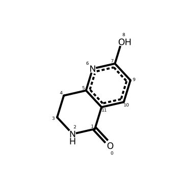 O=C1NCCc2nc(O)ccc21